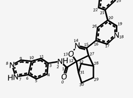 O=C(Nc1ccc2[nH]ncc2c1)C12ON=C(c3cncc(-c4ccoc4)c3)C1C1CCC2C1